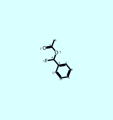 CC(=O)OC(F)c1ccccc1